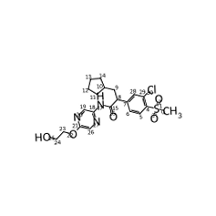 CS(=O)(=O)c1ccc(C(CC2CCCC2)C(=O)Nc2cnc(OCCO)cn2)cc1Cl